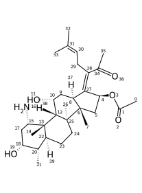 CC(=O)O[C@H]1C[C@@]2(C)[C@@H](C[C@@H](O)[C@H]3[C@@]4(C)[C@@H](N)C[C@@H](O)[C@@H](C)[C@@H]4CC[C@@]32C)/C1=C(\CC=C(C)C)C(C)=O